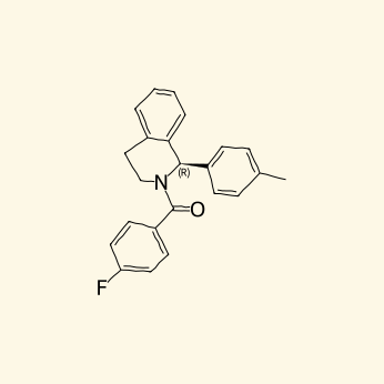 Cc1ccc([C@@H]2c3ccccc3CCN2C(=O)c2ccc(F)cc2)cc1